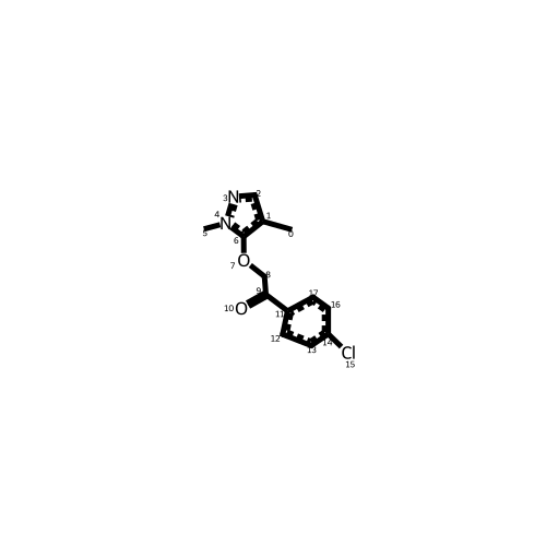 Cc1cnn(C)c1OCC(=O)c1ccc(Cl)cc1